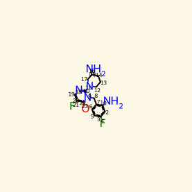 Nc1cc(F)ccc1Cn1c(N2CCC[C@@H](N)C2)ncc(F)c1=O